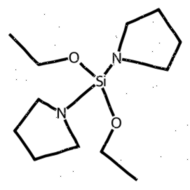 CCO[Si](OCC)(N1CCCC1)N1CCCC1